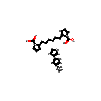 O=C([O-])[c-]1cccc1CCCCCCc1ccc[c-]1C(=O)[O-].[Fe+2].[Fe+2].c1cc[cH-]c1.c1cc[cH-]c1